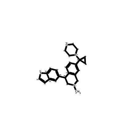 CN1Cc2cc(C3(N4CCOCC4)CC3)ccc2C(c2ccc3sccc3c2)C1